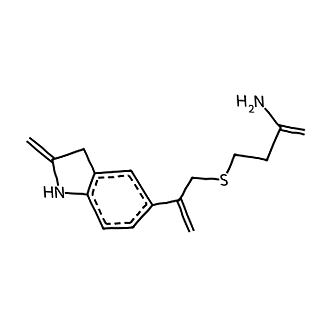 C=C(N)CCSCC(=C)c1ccc2c(c1)CC(=C)N2